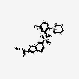 COC(=O)c1cc2ccc(S(=O)(=O)Nc3cc(F)cnc3N3CCCCC3)cc2s1